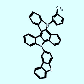 Cc1cccc(-n2c3ccccc3c3c4c5ccccc5n(-c5ccc6sc7ccccc7c6c5)c4c4ccccc4c32)c1